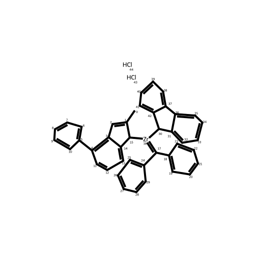 CC1=Cc2c(-c3ccccc3)cccc2[CH]1[Zr](=[C](c1ccccc1)c1ccccc1)[CH]1c2ccccc2-c2ccccc21.Cl.Cl